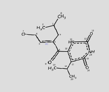 CC(C)C/C(=C\CCl)C(=O)c1[nH]c(=O)[nH]c(=O)c1C(C)C